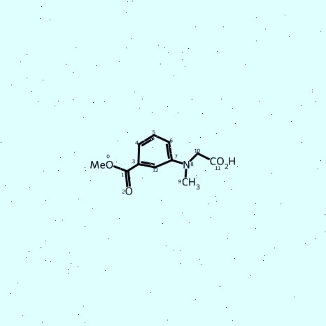 COC(=O)c1cccc(N(C)CC(=O)O)c1